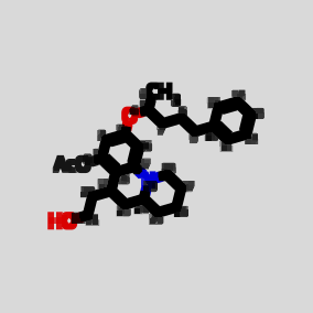 CC(=O)Oc1cc(OC(C)CCCc2ccccc2)cc2c1C(CCO)CC1CCCCN21